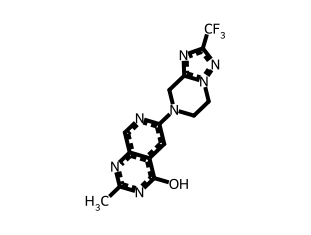 Cc1nc(O)c2cc(N3CCn4nc(C(F)(F)F)nc4C3)ncc2n1